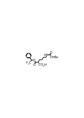 CC(C)(C)OC(=O)NCCCCC(C(=O)O)C(=O)OC(c1ccccc1)C(F)(F)F